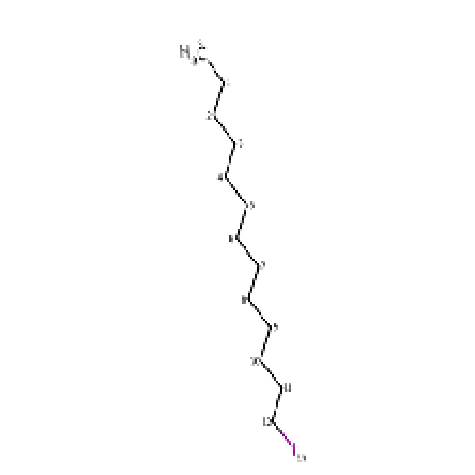 CCCCCCCCCCCCCI